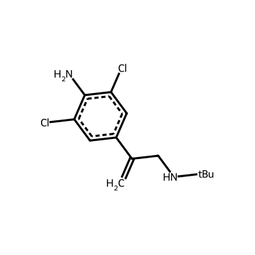 C=C(CNC(C)(C)C)c1cc(Cl)c(N)c(Cl)c1